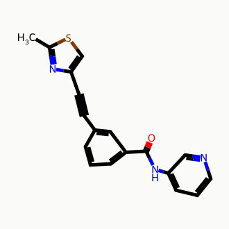 Cc1nc(C#Cc2cccc(C(=O)Nc3cccnc3)c2)cs1